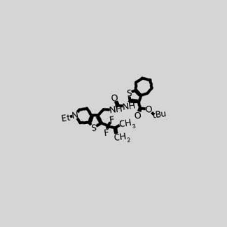 C=C(C)C(F)(F)c1sc2c(c1CNC(=O)Nc1sc3c(c1C(=O)OC(C)(C)C)CCCCC3)CCN(CC)C2